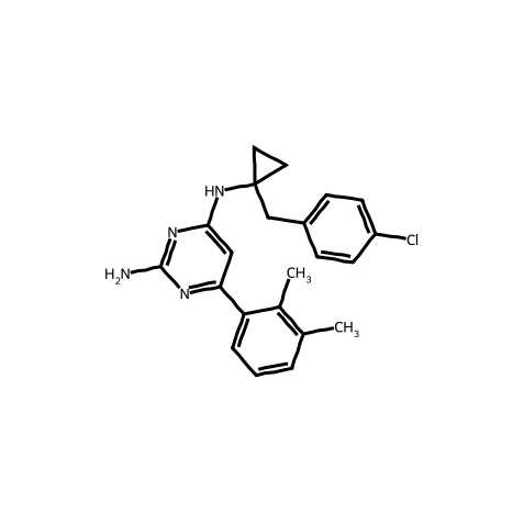 Cc1cccc(-c2cc(NC3(Cc4ccc(Cl)cc4)CC3)nc(N)n2)c1C